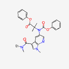 CCN(C)C(=O)c1cn(C)c2ncc(N(C(=O)Oc3ccccc3)C(C)(C)C(=O)Oc3ccccc3)cc12